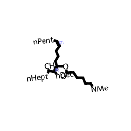 CCCCC/C=C\CCC/C(OC(=O)CCCCCNC)=C(/CCCCCCCCCC)C(C)CCCCCCC